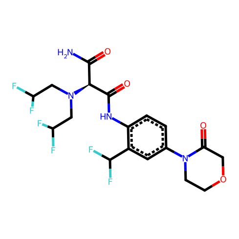 NC(=O)[C@@H](C(=O)Nc1ccc(N2CCOCC2=O)cc1C(F)F)N(CC(F)F)CC(F)F